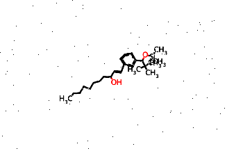 CCCCCCCCC(O)C=Cc1cccc(C(O[SiH](C)C)C(C)(C)C)c1